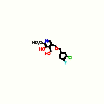 O=C(O)c1ncc(COCc2ccc(F)c(Cl)c2)c(CO)c1O